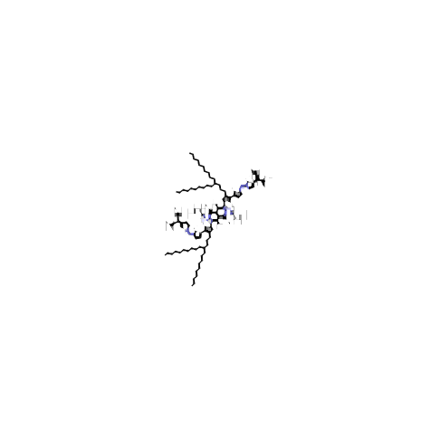 [C-]#[N+]C([N+]#[C-])=c1cc/c(=C\c2ccc(-c3sc(-c4c(F)c5c(=N)/c(=N\S)c(-c6cc(CCCC(CCCCCCCCCC)CCCCCCCCCC)c(-c7ccc(/C=c8\ccc(=C(C#N)C#N)s8)s7)s6)c(F)c=5c(=N)/c4=N\S)cc3CCCC(CCCCCCCCCC)CCCCCCCCCC)s2)s1